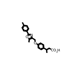 Cc1ccc(-c2nc(COc3ccc(C(C)CC(=O)O)cc3)c(C)o2)cc1